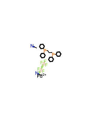 CC#N.CC#N.F[B-](F)(F)F.F[B-](F)(F)F.[Pd+2].c1ccc(P(CCCP(c2ccccc2)c2ccccc2)c2ccccc2)cc1